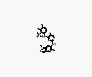 Cc1cc2cnn(C)c2cc1Nc1ncc(Cl)c(Nc2ccc(C)c(C)c2P(C)(C)=O)n1